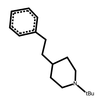 CC(C)(C)N1CCC(CCc2ccccc2)CC1